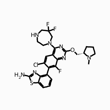 CN1CCC[C@H]1COc1nc(N2CCNCC(F)(F)C2)c2cc(Cl)c(-c3cccc4sc(N)nc34)c(F)c2n1